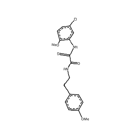 COc1ccc(CCNC(=O)C(=O)Nc2cc(Cl)ccc2OC)cc1